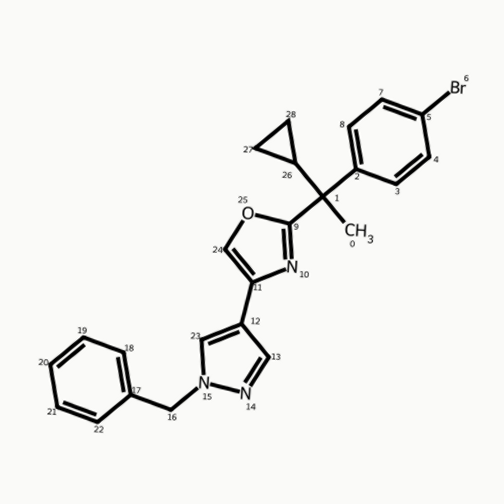 CC(c1ccc(Br)cc1)(c1nc(-c2cnn(Cc3ccccc3)c2)co1)C1CC1